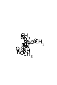 COc1ccc(CN(Cc2ccc(OC)cc2)c2ncnn3c(C(=O)Nc4cc(N=C=O)ccc4C)cnc23)cc1